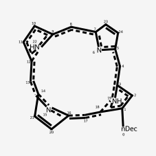 CCCCCCCCCCc1cc2cc3nc(cc4ccc(cc5nc(cc1[nH]2)C=C5)[nH]4)C=C3